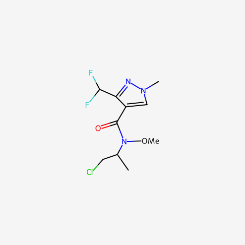 CON(C(=O)c1cn(C)nc1C(F)F)C(C)CCl